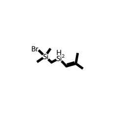 CC(C)=C[SiH2]C[Si](C)(C)Br